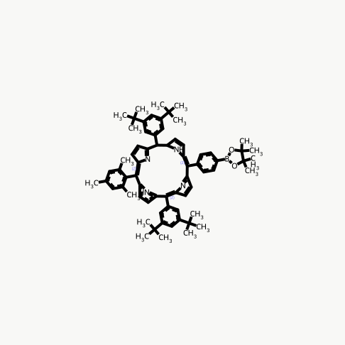 Cc1cc(C)c(/C2=C3\C=CC(=N3)C(c3cc(C(C)(C)C)cc(C(C)(C)C)c3)C3C=C/C(=C(\c4ccc(B5OC(C)(C)C(C)(C)O5)cc4)C4=N/C(=C(/c5cc(C(C)(C)C)cc(C(C)(C)C)c5)c5ccc2[nH]5)C=C4)N3)c(C)c1